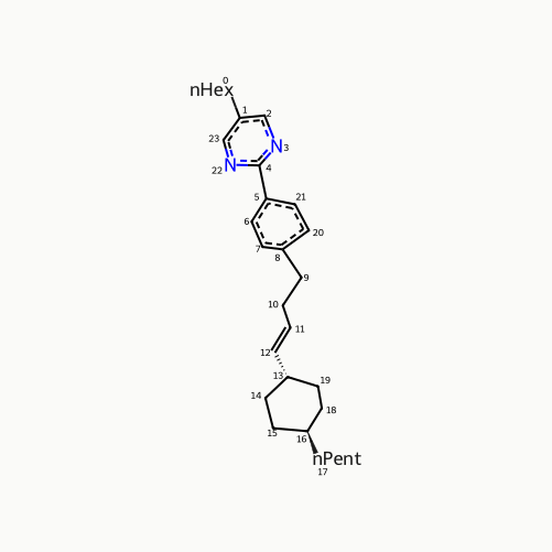 CCCCCCc1cnc(-c2ccc(CCC=C[C@H]3CC[C@H](CCCCC)CC3)cc2)nc1